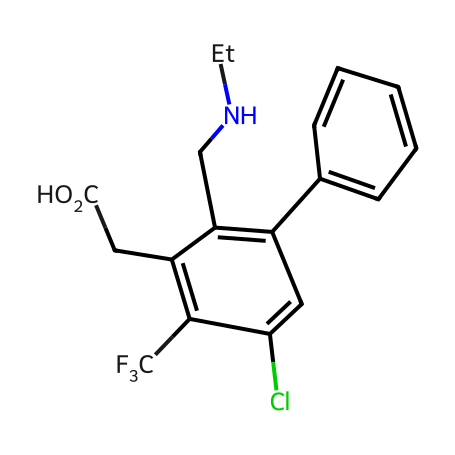 CCNCc1c(-c2ccccc2)cc(Cl)c(C(F)(F)F)c1CC(=O)O